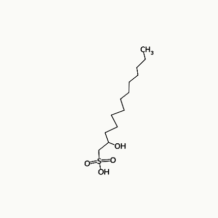 CCCCCCCCCCCC(O)CS(=O)(=O)O